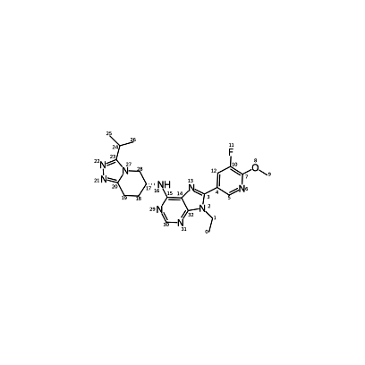 CCn1c(-c2cnc(OC)c(F)c2)nc2c(N[C@@H]3CCc4nnc(C(C)C)n4C3)ncnc21